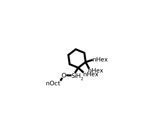 CCCCCCCCO[SiH2]C1(CCCCCC)CCCCC1(CCCCCC)CCCCCC